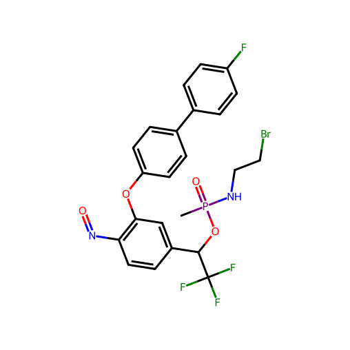 CP(=O)(NCCBr)OC(c1ccc(N=O)c(Oc2ccc(-c3ccc(F)cc3)cc2)c1)C(F)(F)F